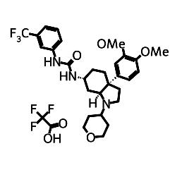 COc1ccc([C@@]23CC[C@@H](NC(=O)Nc4cccc(C(F)(F)F)c4)C[C@@H]2N(C2CCOCC2)CC3)cc1OC.O=C(O)C(F)(F)F